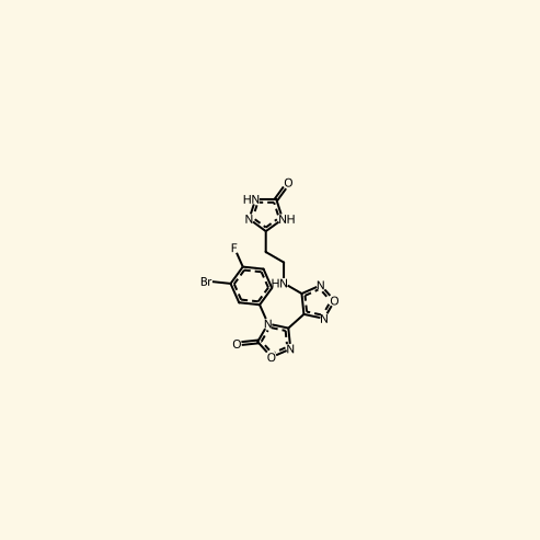 O=c1[nH]nc(CCNc2nonc2-c2noc(=O)n2-c2ccc(F)c(Br)c2)[nH]1